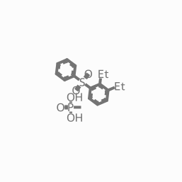 CCc1cccc(S(=O)(=O)c2ccccc2)c1CC.CP(=O)(O)O